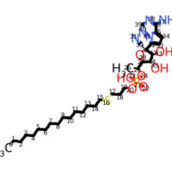 CCCCCCCCCCCCCCCCSCCCOP(=O)(O)O[C@@H](C)[C@H]1O[C@@](C#N)(c2ccc3c(N)ncnn23)[C@H](O)[C@@H]1O